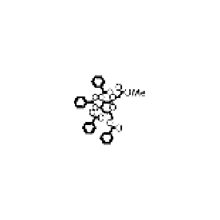 COC(=O)CO[C@@H]1OC(COC(=O)c2ccccc2)[C@H](OC(=O)c2ccccc2)C(OC(=O)c2ccccc2)C1OC(=O)c1ccccc1